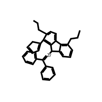 CCCc1ccc2c(c1C1=CC=CC1)[CH]([Zr]=[C](c1ccccc1)c1ccccc1)c1cccc(CCC)c1-2